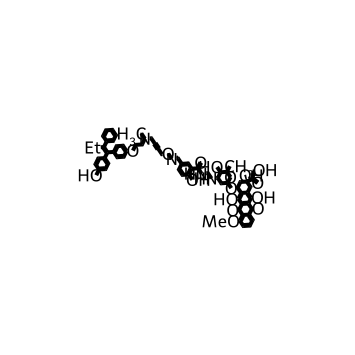 CCC(=C(c1ccc(O)cc1)c1ccc(OCCN(C)CC#CCO/N=C/c2ccc(O)c(C(=O)NCNC3CC(O[C@H]4C[C@](O)(C(=O)CO)Cc5c(O)c6c(c(O)c54)C(=O)c4c(OC)cccc4C6=O)OC(C)C3O)c2)cc1)c1ccccc1